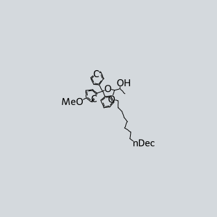 CCCCCCCCCCCCCCCCCCOC(OC(c1ccccc1)(c1ccccc1)c1ccc(OC)cc1)C(C)O